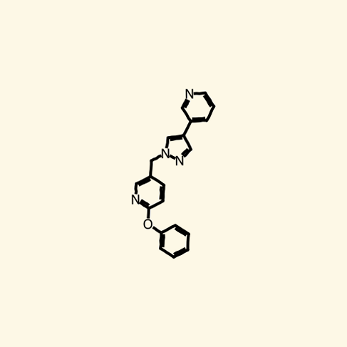 c1ccc(Oc2ccc(Cn3cc(-c4cccnc4)cn3)cn2)cc1